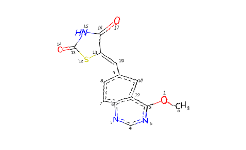 COc1ncnc2ccc(/C=C3\SC(=O)NC3=O)cc12